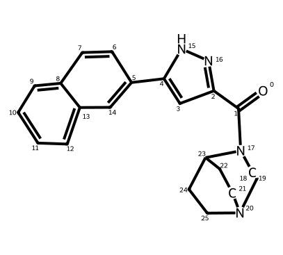 O=C(c1cc(-c2ccc3ccccc3c2)[nH]n1)N1CCN2CCC1CC2